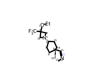 CCOC1(C(F)(F)F)CN([C@H]2CC[C@@](I)(/C=N\C)CC2)C1